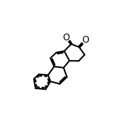 O=C1CCC2C(=CC=C3c4ccccc4C=CC32)C1=O